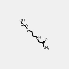 NC(=O)CNCCSOOO